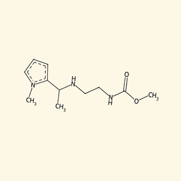 COC(=O)NCCNC(C)c1cccn1C